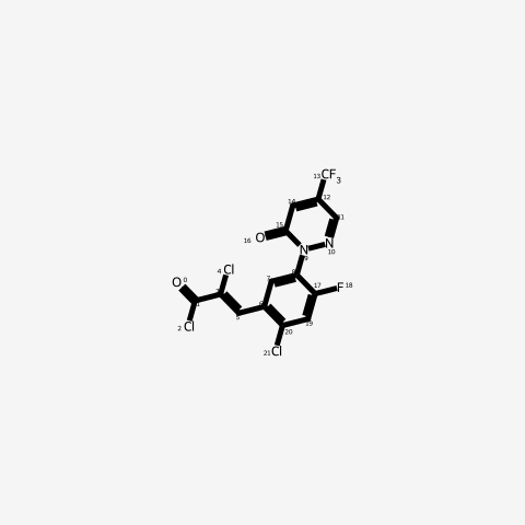 O=C(Cl)C(Cl)=Cc1cc(-n2ncc(C(F)(F)F)cc2=O)c(F)cc1Cl